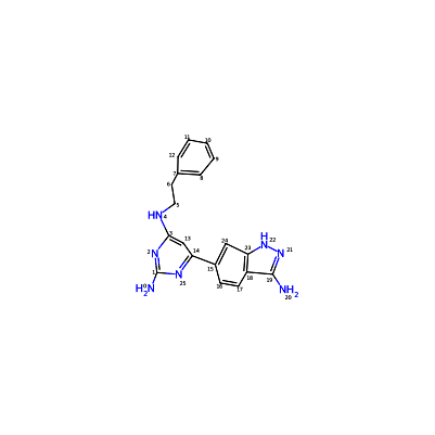 Nc1nc(NCCc2ccccc2)cc(-c2ccc3c(N)n[nH]c3c2)n1